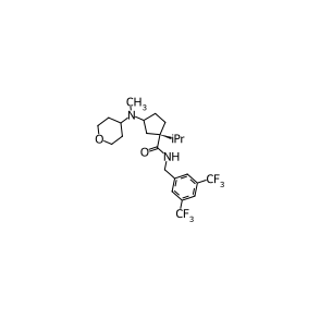 CC(C)[C@]1(C(=O)NCc2cc(C(F)(F)F)cc(C(F)(F)F)c2)CCC(N(C)C2CCOCC2)C1